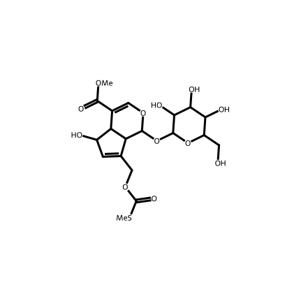 COC(=O)C1=COC(OC2OC(CO)C(O)C(O)C2O)C2C(COC(=O)SC)=CC(O)C12